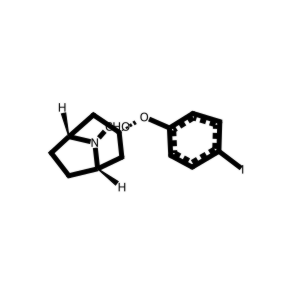 O=CN1[C@@H]2CC[C@H]1C[C@@H](Oc1ccc(I)cc1)C2